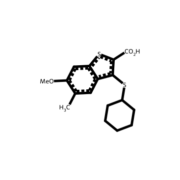 COc1cc2sc(C(=O)O)c(SC3CCCCC3)c2cc1C